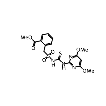 COC(=O)c1ccccc1CS(=O)(=O)NC(=S)Nc1nc(OC)cc(OC)n1